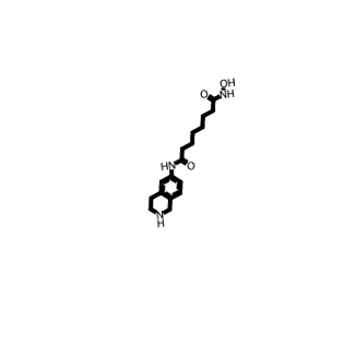 O=C(CCCCCCC(=O)Nc1ccc2c(c1)CCNC2)NO